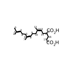 CC(C)=CCCC(C)=CCCC(C)=CCC(CCC(=O)O)C(=O)O